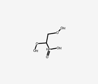 O=[PH](O)C(COO)OO